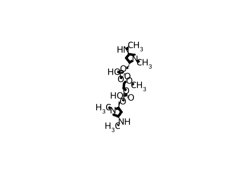 CN[C@@H]1C[C@@H](COP(=O)(O)OC(COP(=O)(O)OC[C@H]2C[C@H](NC)CN2C)OC)N(C)C1